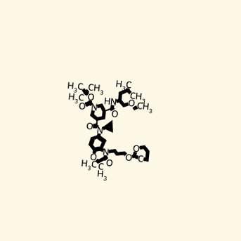 CCOCC(CC(C)C)NC(=O)[C@H]1C[C@@H](C(=O)N(c2ccc3c(c2)N(CCCOC2CCCCO2)C(=O)C(C)(C)O3)C2CC2)CN(C(=O)OC(C)(C)C)C1